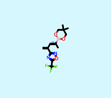 C=C(/C=C(\C)B1OCC(C)(C)CO1)c1noc(C(F)(F)F)n1